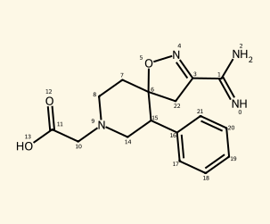 N=C(N)C1=NOC2(CCN(CC(=O)O)CC2c2ccccc2)C1